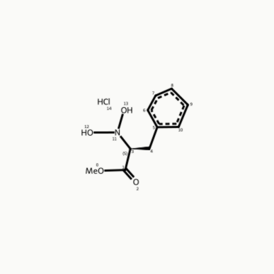 COC(=O)[C@H](Cc1ccccc1)N(O)O.Cl